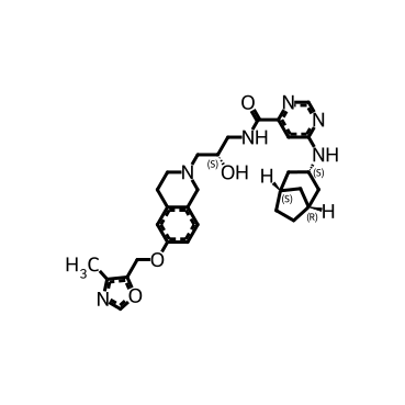 Cc1ncoc1COc1ccc2c(c1)CCN(C[C@@H](O)CNC(=O)c1cc(N[C@@H]3C[C@@H]4CC[C@@H](C4)C3)ncn1)C2